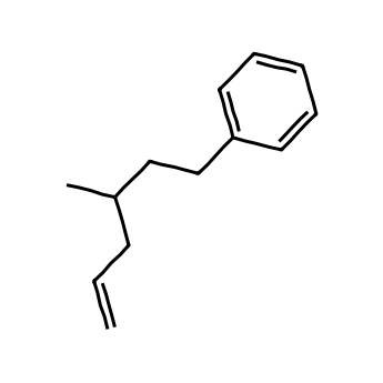 C=CCC(C)CCc1ccccc1